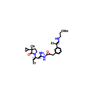 CC/C=C(\C=C(/N)NC1OC1Cc1cccc(/C(=C/NCCOC)CC)c1)N1CCC(C#N)(C2CC2)C1=O